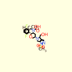 CC(C)(C)N(C(=O)O)[C@H]1C[C@@H](N2Cc3c(cnn3S(C)(=O)=O)C2CO)CO[C@@H]1c1cc(F)ccc1F